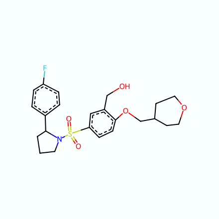 O=S(=O)(c1ccc(OCC2CCOCC2)c(CO)c1)N1CCCC1c1ccc(F)cc1